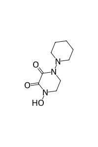 O=C1C(=O)N(N2CCCCC2)CCN1O